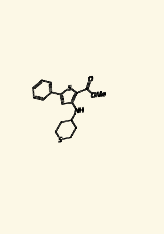 COC(=O)c1sc(-c2ccccc2)cc1NC1CCSCC1